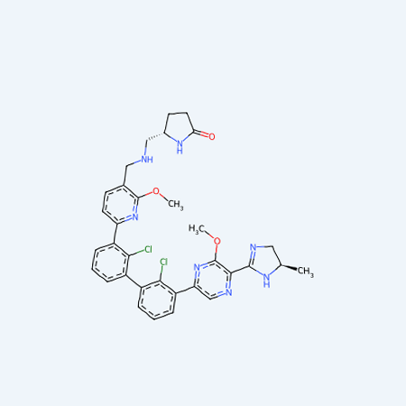 COc1nc(-c2cccc(-c3cccc(-c4cnc(C5=NC[C@@H](C)N5)c(OC)n4)c3Cl)c2Cl)ccc1CNC[C@@H]1CCC(=O)N1